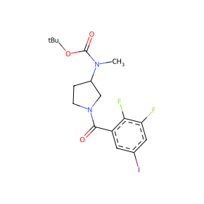 CN(C(=O)OC(C)(C)C)C1CCN(C(=O)c2cc(I)cc(F)c2F)C1